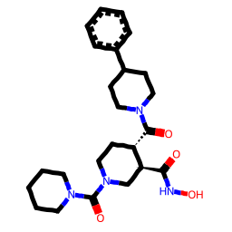 O=C(NO)[C@H]1CN(C(=O)N2CCCCC2)CC[C@@H]1C(=O)N1CCC(c2ccccc2)CC1